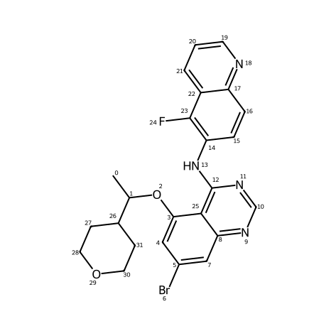 CC(Oc1cc(Br)cc2ncnc(Nc3ccc4ncccc4c3F)c12)C1CCOCC1